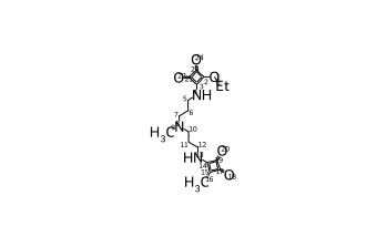 CCOc1c(NCCCN(C)CCCNc2c(C)c(=O)c2=O)c(=O)c1=O